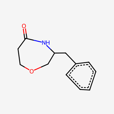 O=C1CCOCC(Cc2ccccc2)N1